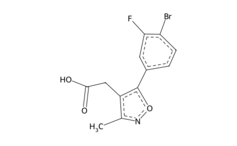 Cc1noc(-c2ccc(Br)c(F)c2)c1CC(=O)O